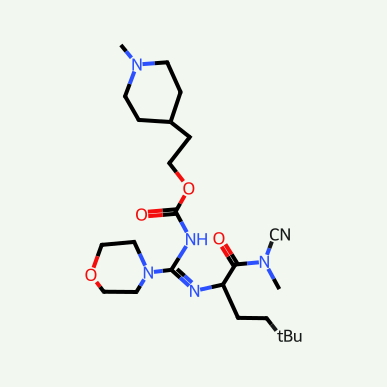 CN1CCC(CCOC(=O)NC(=NC(CCC(C)(C)C)C(=O)N(C)C#N)N2CCOCC2)CC1